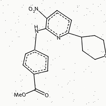 COC(=O)c1ccc(Nc2nc(C3CCOCC3)ccc2[N+](=O)[O-])cc1